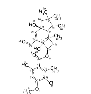 COc1cc(O)c(C(=O)O[C@@H]2C[C@]3(C)C4[C@@H](O)C(C)(C)C[C@@]4(O)C=C(C=O)[C@]23O)c(C)c1Cl